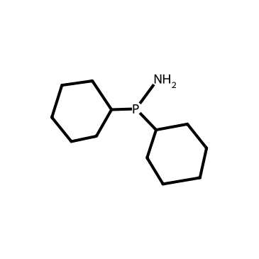 NP(C1CCCCC1)C1CCCCC1